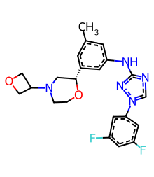 Cc1cc(Nc2ncn(-c3cc(F)cc(F)c3)n2)cc([C@H]2CN(C3COC3)CCO2)c1